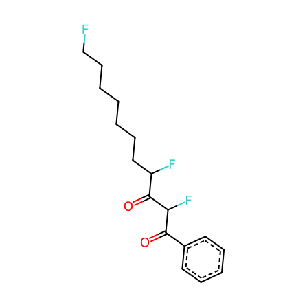 O=C(c1ccccc1)C(F)C(=O)C(F)CCCCCCCF